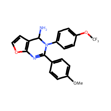 COc1ccc(C2=Nc3occc3C(N)N2c2ccc(OC(F)(F)F)cc2)cc1